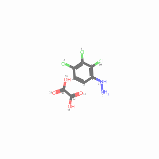 NNc1ccc(Cl)c(Cl)c1Cl.O=C(O)C(=O)O